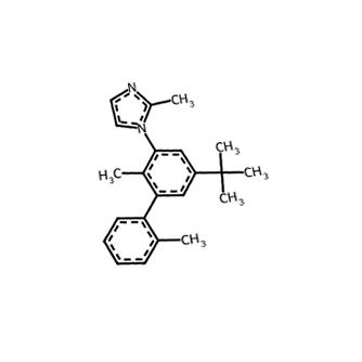 Cc1ccccc1-c1cc(C(C)(C)C)cc(-n2ccnc2C)c1C